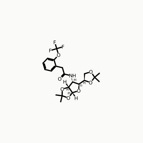 CC1(C)O[C@H]2O[C@H]([C@H]3COC(C)(C)O3)[C@@H](NC(=O)Cc3ccccc3OC(F)(F)F)[C@H]2O1